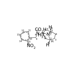 CN1[C@@H]2CC[C@H]1C[C@@H](N(Cc1ccccc1[N+](=O)[O-])C(=O)O)C2